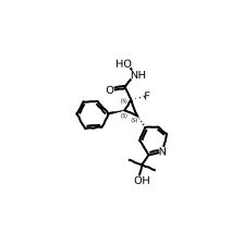 CC(C)(O)c1cc([C@@H]2[C@@H](c3ccccc3)[C@@]2(F)C(=O)NO)ccn1